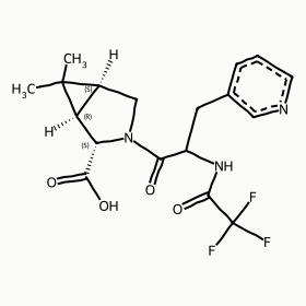 CC1(C)[C@@H]2[C@@H](C(=O)O)N(C(=O)C(Cc3cccnc3)NC(=O)C(F)(F)F)C[C@@H]21